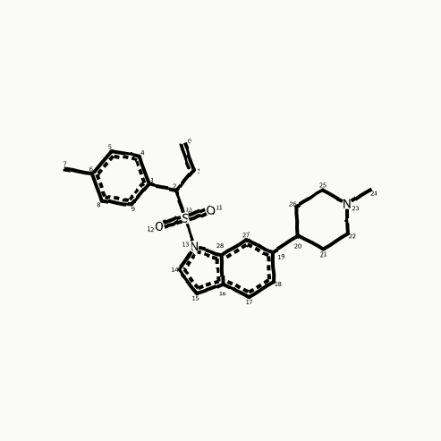 C=CC(c1ccc(C)cc1)S(=O)(=O)n1ccc2ccc(C3CCN(C)CC3)cc21